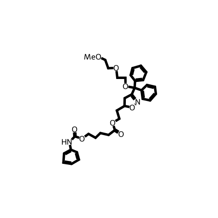 COCCOCCOC(C1=NOC(CCOC(=O)CCCCOC(=O)Nc2ccccc2)C1)(c1ccccc1)c1ccccc1